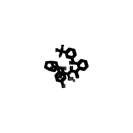 C[C@H](NC(=O)c1ccccc1Nc1cccc(C(F)(F)F)c1)C(=O)NC1CC2CCC(C1)N2Cc1ccc(Cl)cc1